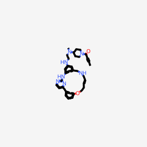 CC#CC(=O)N1CCC(N(C)CCNc2cc3cc(c2)Nc2nccc(n2)-c2cccc(c2)OCC/C=C/CNC3)CC1